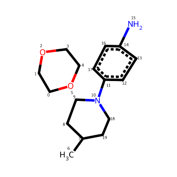 C1COCCO1.CC1CCN(c2ccc(N)cc2)CC1